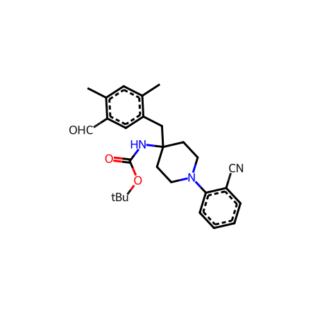 Cc1cc(C)c(CC2(NC(=O)OC(C)(C)C)CCN(c3ccccc3C#N)CC2)cc1C=O